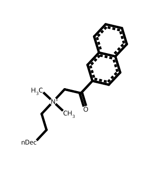 CCCCCCCCCCCC[N+](C)(C)CC(=O)c1ccc2ccccc2c1